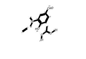 C=C.CCOC(C)OCC.CN(C)c1cc(C=O)ccc1O